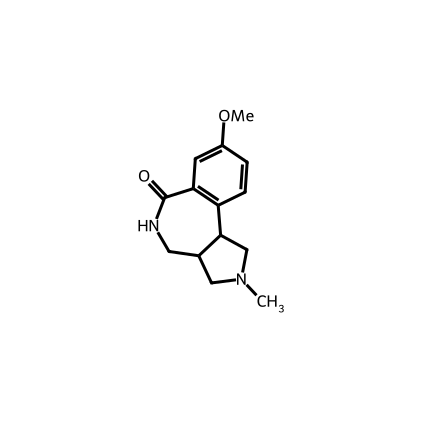 COc1ccc2c(c1)C(=O)NCC1CN(C)CC21